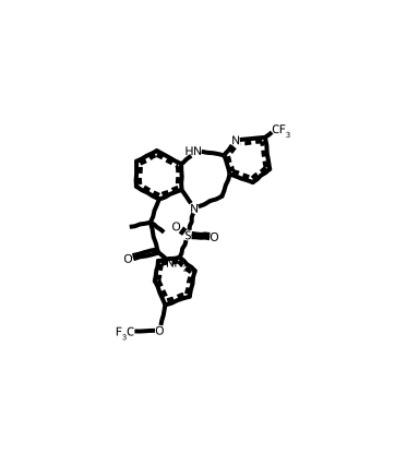 CC(C)(C(N)=O)c1cccc2c1N(S(=O)(=O)c1ccc(OC(F)(F)F)cc1)Cc1ccc(C(F)(F)F)nc1N2